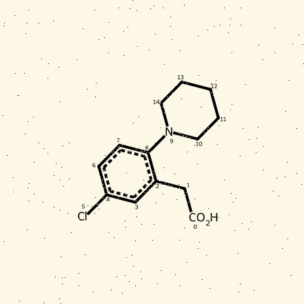 O=C(O)Cc1cc(Cl)ccc1N1CCCCC1